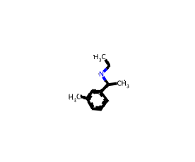 CC[N]C(C)c1cccc(C)c1